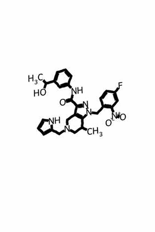 CC(O)c1cccc(NC(=O)c2nn(Cc3ccc(F)cc3[N+](=O)[O-])c3c2CN(Cc2ccc[nH]2)CC3C)c1